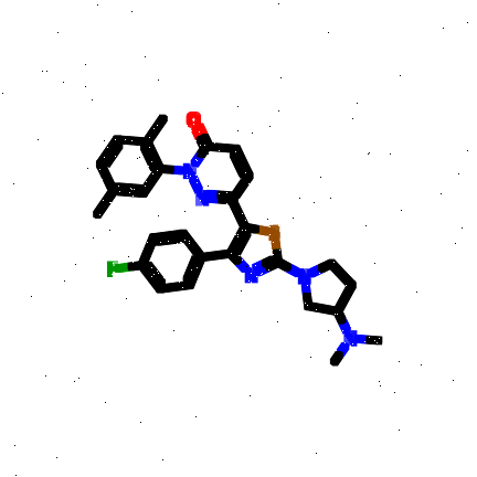 Cc1ccc(C)c(-n2nc(-c3sc(N4CCC(N(C)C)C4)nc3-c3ccc(F)cc3)ccc2=O)c1